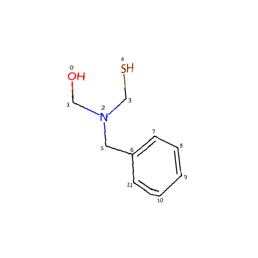 OCN(CS)Cc1ccccc1